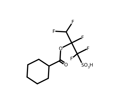 O=C(OC(F)(C(F)F)C(F)(F)S(=O)(=O)O)C1CCCCC1